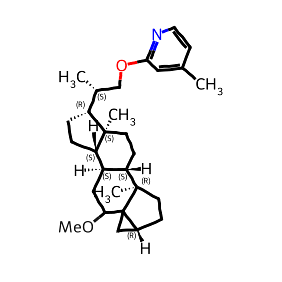 COC1C[C@H]2[C@@H]3CC[C@H]([C@H](C)COc4cc(C)ccn4)[C@@]3(C)CC[C@@H]2[C@@]2(C)CC[C@@H]3CC132